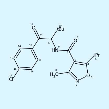 Cc1noc(C(C)C)c1C(=O)NC(C(=O)c1ccc(Cl)cc1)C(C)(C)C